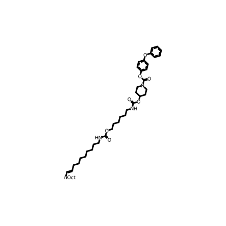 CCCCCCCCC=CCCCCCCCCNC(=O)OCCCCCCNC(=O)OC1CCN(C(=O)Oc2ccc(Oc3ccccc3)cc2)CC1